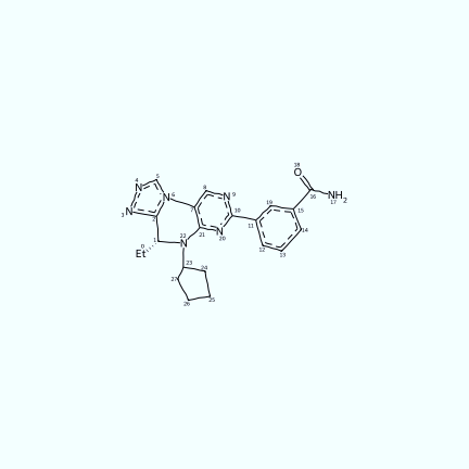 CC[C@@H]1c2nncn2-c2cnc(-c3cccc(C(N)=O)c3)nc2N1C1CCCC1